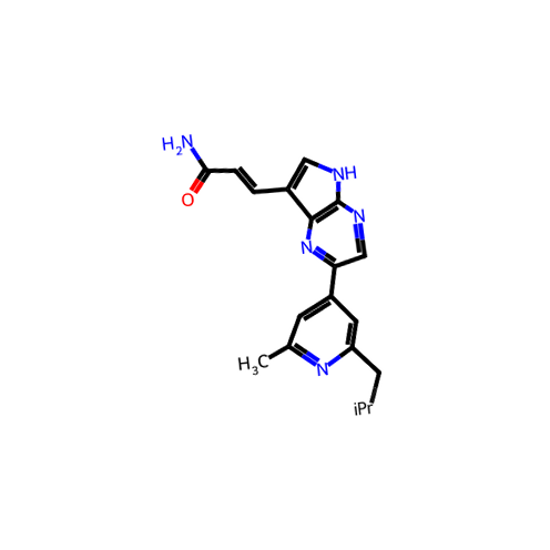 Cc1cc(-c2cnc3[nH]cc(/C=C/C(N)=O)c3n2)cc(CC(C)C)n1